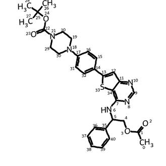 CC(=O)OCC(Nc1ncnc2cc(-c3ccc(N4CCN(C(=O)OC(C)(C)C)CC4)cc3)sc12)c1ccccc1